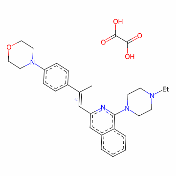 CCN1CCN(c2nc(/C=C(\C)c3ccc(N4CCOCC4)cc3)cc3ccccc23)CC1.O=C(O)C(=O)O